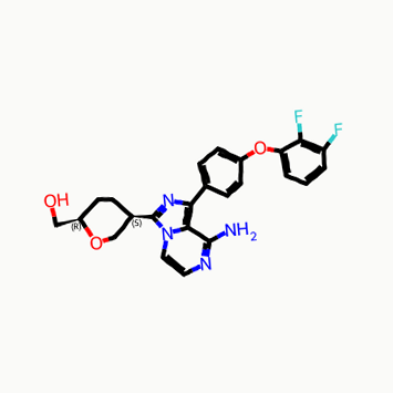 Nc1nccn2c([C@@H]3CC[C@H](CO)OC3)nc(-c3ccc(Oc4cccc(F)c4F)cc3)c12